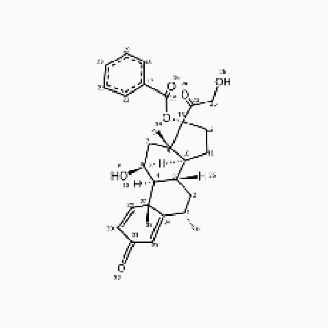 C[C@H]1C[C@@H]2[C@H]([C@@H](O)C[C@@]3(C)[C@H]2CC[C@]3(OC(=O)c2ccccc2)C(=O)CO)[C@@]2(C)C=CC(=O)C=C12